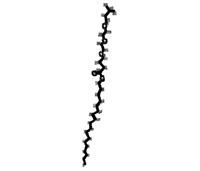 CCCCCCCCCCCCCCCCCCOC(=O)CCCOCCOCCOCCC(C)C